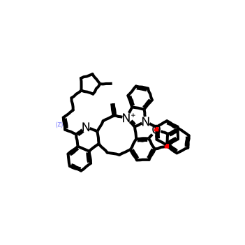 C=C1CC2N=C(/C=C\CCC3CCC(C)C3)c3ccccc3C2CCc2ccc3c(oc4ccccc43)c2-c2n(-c3ccccc3)c3ccccc3[n+]21